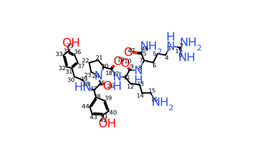 N=C(N)NCCCC(NC(=O)C(CCCCN)NC(=O)C1CCCN1C(=O)C(NCCc1ccc(O)cc1)c1ccc(O)cc1)C(N)=O